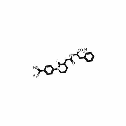 N=C(N)c1ccc(N2CCCC(CC(=O)NC(Cc3ccccc3)C(=O)O)C2=O)cc1